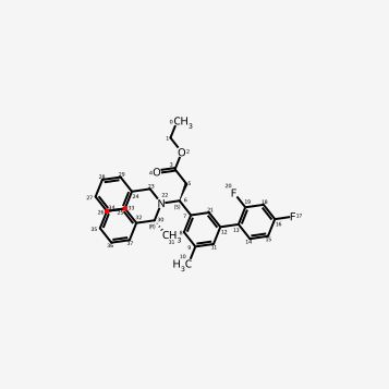 CCOC(=O)C[C@@H](c1cc(C)cc(-c2ccc(F)cc2F)c1)N(Cc1ccccc1)[C@H](C)c1ccccc1